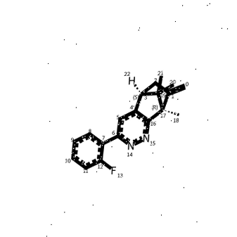 C=C1C[C@@H]2c3cc(-c4ccccc4F)nnc3[C@@]1(C)C2(C)C